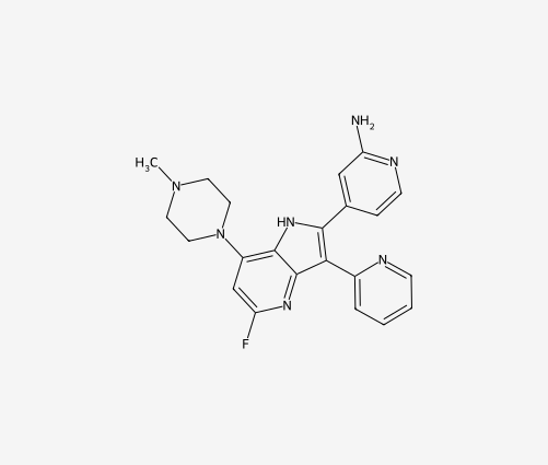 CN1CCN(c2cc(F)nc3c(-c4ccccn4)c(-c4ccnc(N)c4)[nH]c23)CC1